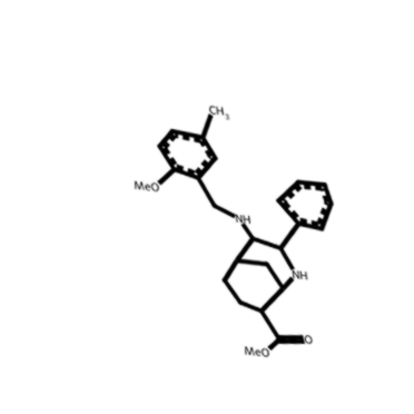 COC(=O)C1CCC2CC1NC(c1ccccc1)C2NCc1cc(C)ccc1OC